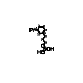 CC(C)c1cccc(CCCON(O)O)c1